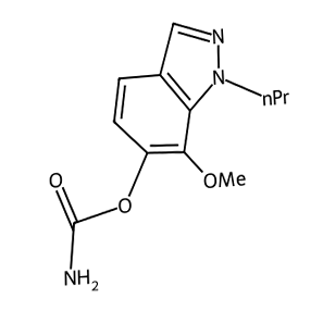 CCCn1ncc2ccc(OC(N)=O)c(OC)c21